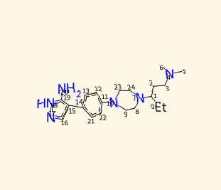 CCC(CCN(C)C)N1CCN(c2ccc(-c3cn[nH]c3N)cc2)CC1